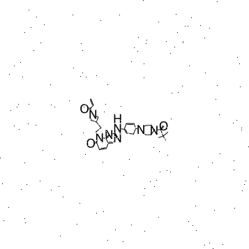 C=CC(=O)N1CC(CCn2c(=O)ccc3cnc(NC4=CCC(N5CCN(C(=O)C(C)(C)C)CC5)C=C4)nc32)C1